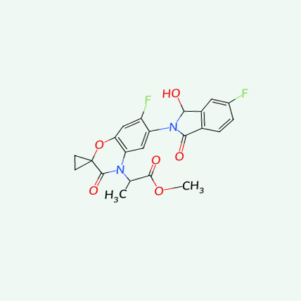 COC(=O)C(C)N1C(=O)C2(CC2)Oc2cc(F)c(N3C(=O)c4ccc(F)cc4C3O)cc21